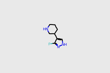 Fc1n[nH]cc1C1CCCNC1